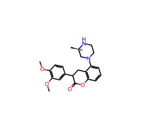 COc1ccc(C2Cc3c(cccc3N3CCN[C@H](C)C3)OC2=O)cc1OC